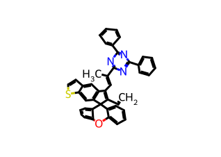 C=CC1=C(/C=C(\C)c2nc(-c3ccccc3)nc(-c3ccccc3)n2)c2cc3ccsc3cc2C12c1ccccc1Oc1ccccc12